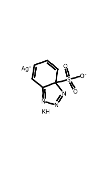 O=S(=O)([O-])C12C=CC=CC1=NN=N2.[Ag+].[KH]